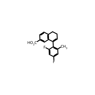 Cc1cc(F)cc(F)c1C1=CCCc2ccc(C(=O)O)cc21